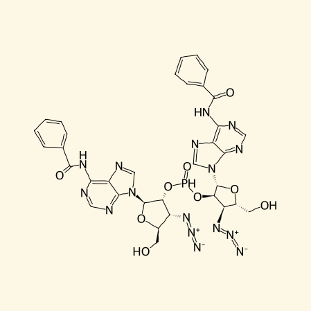 [N-]=[N+]=N[C@H]1[C@@H](O[PH](=O)O[C@@H]2[C@H](N=[N+]=[N-])[C@@H](CO)O[C@H]2n2cnc3c(NC(=O)c4ccccc4)ncnc32)[C@H](n2cnc3c(NC(=O)c4ccccc4)ncnc32)O[C@@H]1CO